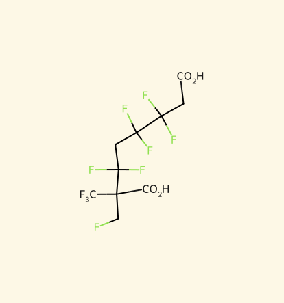 O=C(O)CC(F)(F)C(F)(F)CC(F)(F)C(CF)(C(=O)O)C(F)(F)F